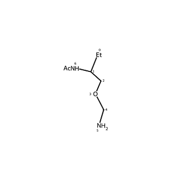 CCC(COCN)NC(C)=O